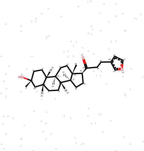 C[C@@]1(O)CC[C@H]2[C@H](CC[C@@H]3[C@@H]2CC[C@]2(C)[C@@H](C(=O)CCc4ccoc4)CC[C@@H]32)C1